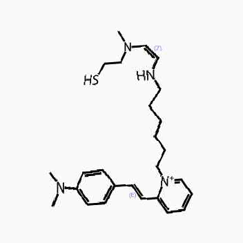 CN(/C=C\NCCCCCC[n+]1ccccc1/C=C/c1ccc(N(C)C)cc1)CCS